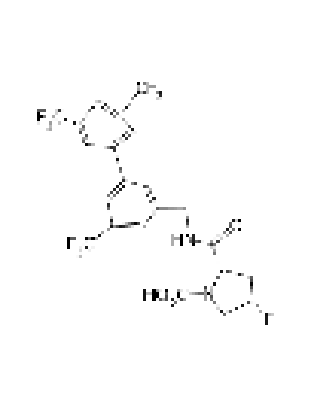 O=C(NCc1cc(-c2cc(C(F)(F)F)cc(C(F)(F)F)c2)cc(C(F)(F)F)c1)[C@@H]1C[C@H](F)CN1C(=O)O